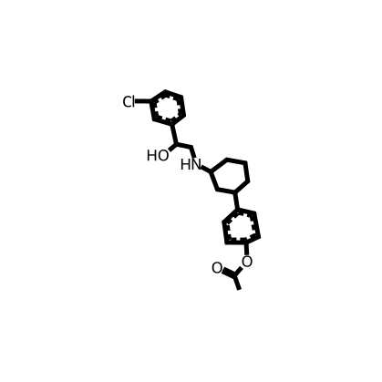 CC(=O)Oc1ccc(C2CCCC(NCC(O)c3cccc(Cl)c3)C2)cc1